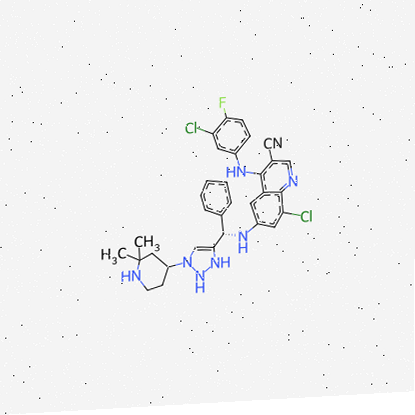 CC1(C)CC(N2C=C([C@@H](Nc3cc(Cl)c4ncc(C#N)c(Nc5ccc(F)c(Cl)c5)c4c3)c3ccccc3)NN2)CCN1